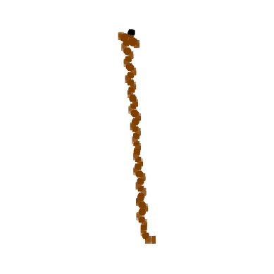 CS(=S)(=S)SSSSSSSSSSSSSSSSSSSSSSSSSS